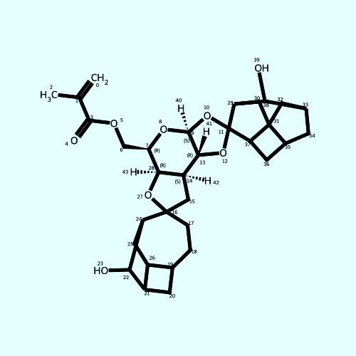 C=C(C)C(=O)OC[C@H]1O[C@H]2OC3(O[C@@H]2[C@H]2CC4(CCC5CC6C(O)C4CC56)O[C@H]21)C1CC24CC(CC2CC43)C1O